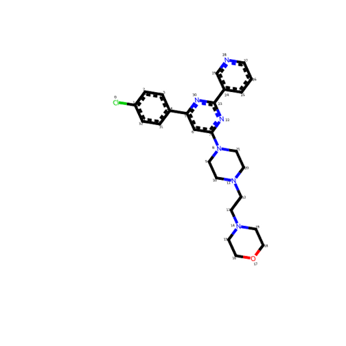 Clc1ccc(-c2cc(N3CCN(CCN4CCOCC4)CC3)nc(-c3cccnc3)n2)cc1